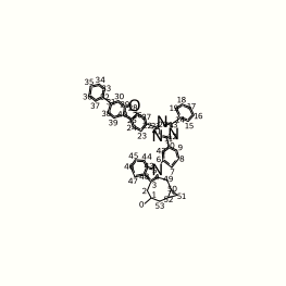 CC1Cc2c(n(-c3cccc(-c4nc(-c5ccccc5)nc(-c5ccc6c(c5)oc5cc(-c7ccccc7)ccc56)n4)c3)c3ccccc23)CC2=CC2C1